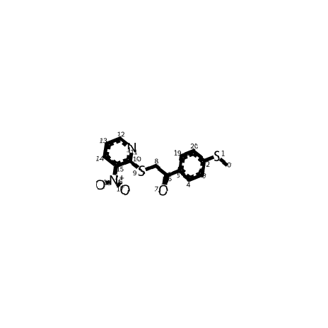 CSc1ccc(C(=O)CSc2ncccc2[N+](=O)[O-])cc1